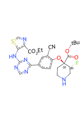 CCOC(=O)c1ncsc1Nc1ncnc(-c2ccc(O[C@]3(C(=O)OC(C)(C)C)CCNC[C@H]3F)c(C#N)c2)n1